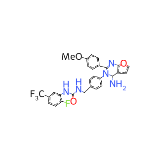 COc1ccc(C2=Nc3occc3C(N)N2c2ccc(CNC(=O)Nc3cc(C(F)(F)F)ccc3F)cc2)cc1